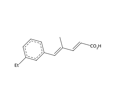 CCc1cccc(/C=C(C)/C=C/C(=O)O)c1